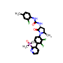 Cc1ccc(NC(=O)N[C@@H]2CC(C)N(c3ccc(-c4cccnc4P(C)(C)=O)c(F)c3F)C2=O)c(F)c1